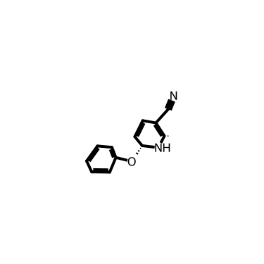 N#CC1=[C]N[C@H](Oc2ccccc2)C=C1